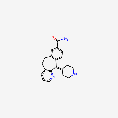 NC(=O)c1ccc2c(c1)CCc1cccnc1C2=C1CCNCC1